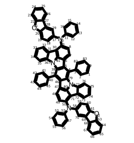 c1ccc(-c2c3c4ccc(N(c5ccccc5)c5ccc6oc7ccccc7c6c5)c5c6ccccc6n(c3c(-c3ccccc3)c3c6ccc(N(c7ccccc7)c7ccc8oc9ccccc9c8c7)c7c8ccccc8n(c23)c67)c45)cc1